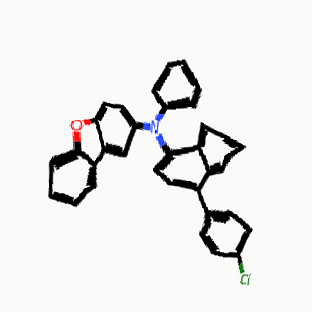 Clc1ccc(-c2ccc(N(c3ccccc3)c3ccc4oc5ccccc5c4c3)c3ccccc23)cc1